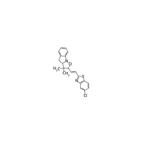 CC1(C)C(C=Cc2nc3cc(Cl)ccc3s2)ON2c3ccccc3CC21